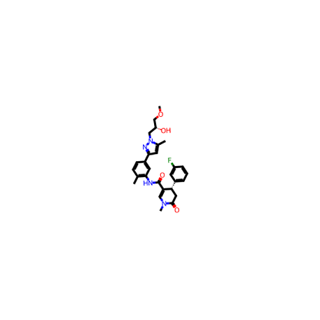 COC[C@H](O)Cn1nc(-c2ccc(C)c(NC(=O)C3=CN(C)C(=O)C[C@H]3c3cccc(F)c3)c2)cc1C